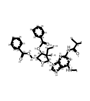 CNc1nc(NC(=O)C(C)C)nc2c1ncn2[C@@H]1O[C@H](COC(=O)c2ccccc2)[C@@H](OC(=O)c2ccccc2)[C@]1(F)CF